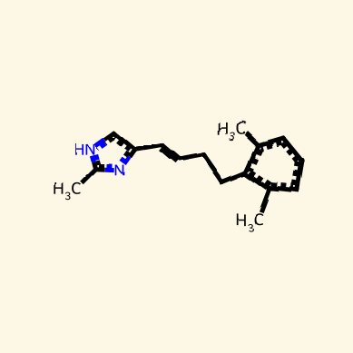 Cc1nc(C=CCCc2c(C)cccc2C)c[nH]1